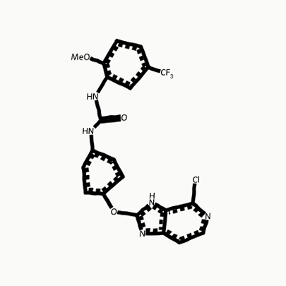 COc1ccc(C(F)(F)F)cc1NC(=O)Nc1ccc(Oc2nc3ccnc(Cl)c3[nH]2)cc1